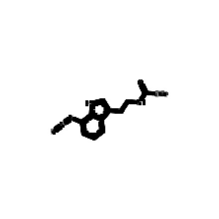 COC(=O)NCCc1c[nH]c2c(N=[N+]=[N-])cccc12